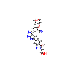 N#Cc1cc(-c2ncnc3[nH]c(-c4ccc(C(=O)NCCO)cc4)cc23)ccc1OC1CCOCC1